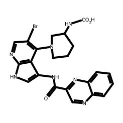 O=C(O)NC1CCCN(c2c(Br)cnc3[nH]cc(NC(=O)c4cnc5ccccc5n4)c23)C1